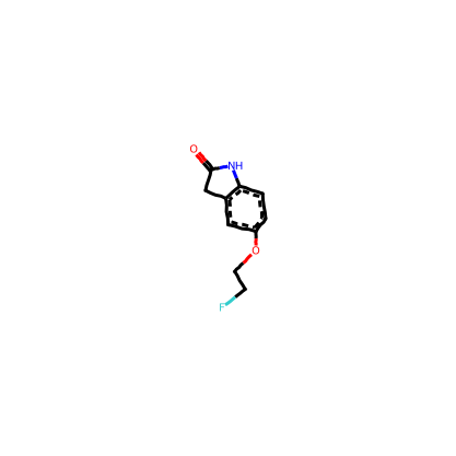 O=C1Cc2cc(OCCF)ccc2N1